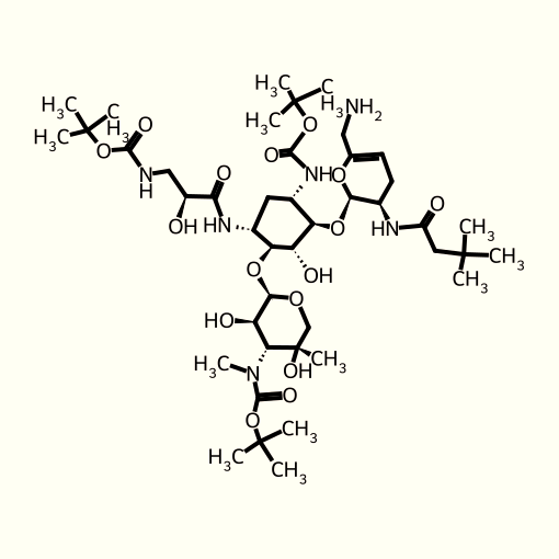 CN(C(=O)OC(C)(C)C)[C@@H]1[C@@H](O)[C@@H](O[C@@H]2[C@@H](O)[C@H](O[C@H]3OC(CN)=CC[C@H]3NC(=O)CC(C)(C)C)[C@@H](NC(=O)OC(C)(C)C)C[C@H]2NC(=O)[C@@H](O)CNC(=O)OC(C)(C)C)OC[C@]1(C)O